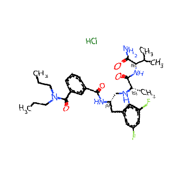 CCCN(CCC)C(=O)c1cccc(C(=O)N[C@H](CN[C@@H](C)C(=O)N[C@H](C(N)=O)C(C)C)Cc2cc(F)cc(F)c2)c1.Cl